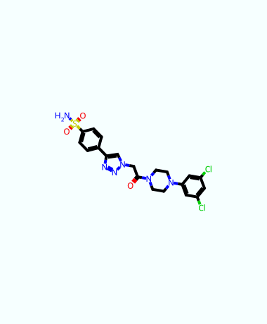 NS(=O)(=O)c1ccc(-c2cn(CC(=O)N3CCN(c4cc(Cl)cc(Cl)c4)CC3)nn2)cc1